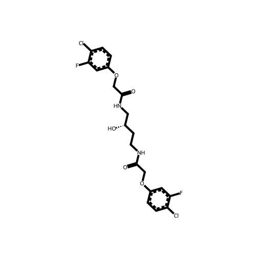 O=C(COc1ccc(Cl)c(F)c1)NCC[C@H](O)CNC(=O)COc1ccc(Cl)c(F)c1